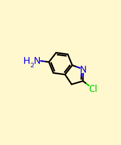 Nc1ccc2c(c1)CC(Cl)=N2